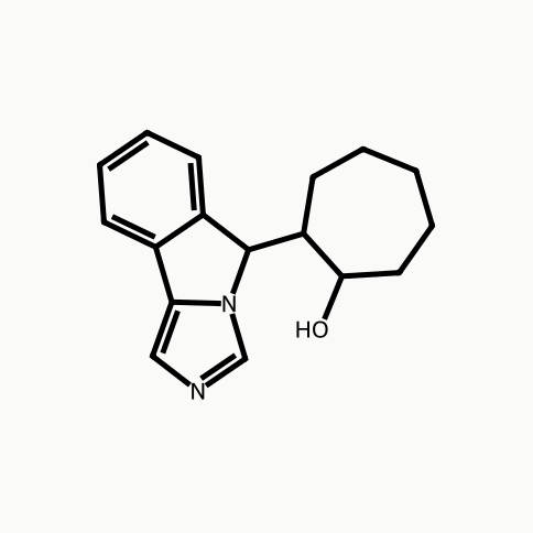 OC1CCCCCC1C1c2ccccc2-c2cncn21